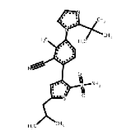 Cc1c(-n2ccnc2C(C)(C)C)ccc(-c2cc(CC(C)C)sc2S(N)(=O)=O)c1C#N